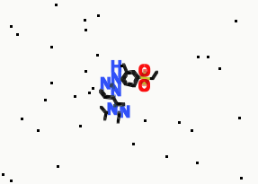 CCS(=O)(=O)c1ccc(Nc2nccc(-c3cnc(C)n3C(C)C)n2)c(C)c1